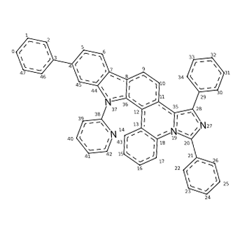 c1ccc(-c2ccc3c4ccc5c(c6ccccc6n6c(-c7ccccc7)nc(-c7ccccc7)c56)c4n(-c4ccccn4)c3c2)cc1